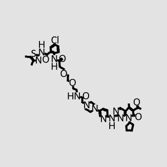 CC(=O)c1c(C)c2cnc(Nc3ccc(N4CCN(CC(=O)NCCOCCOCCC(=O)Nc5ccc(Cl)cc5C(=O)Nc5nc(C)c(C)s5)CC4)cn3)nc2n(C2CCCC2)c1=O